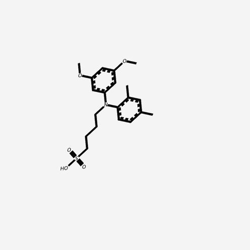 COc1cc(OC)cc(N(CCCCS(=O)(=O)O)c2ccc(C)cc2C)c1